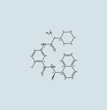 Cc1ccc(NC(=O)[C@H](N)C2CCCCC2)cc1C(=O)N[C@H](C)c1cccc2ccccc12